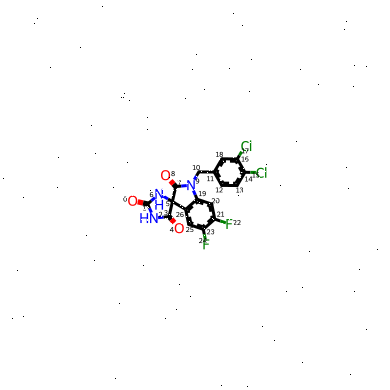 O=C1NC(=O)C2(N1)C(=O)N(Cc1ccc(Cl)c(Cl)c1)c1cc(F)c(F)cc12